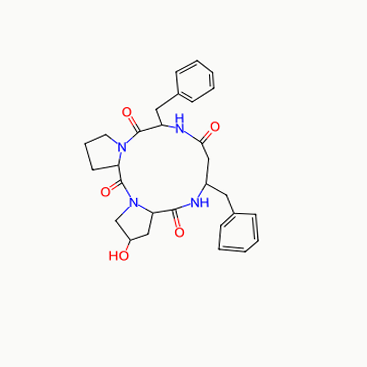 O=C1CC(Cc2ccccc2)NC(=O)C2CC(O)CN2C(=O)C2CCCN2C(=O)C(Cc2ccccc2)N1